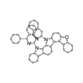 c1ccc(-c2nc(-n3c4ccccc4c4ccc5c6c7c(ccc6n(-c6ccc8ccccc8c6)c5c43)oc3ccccc37)nc3ccccc23)cc1